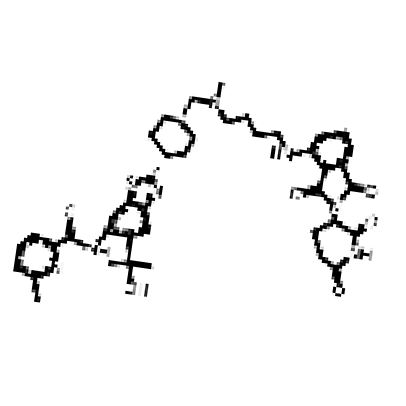 Cc1cccc(C(=O)Nc2cc3sc([C@H]4CC[C@H](CN(C)CCCCNc5cccc6c5C(=O)N(C5CCC(=O)NC5=O)C6=O)CC4)nc3cc2C(C)(C)O)n1